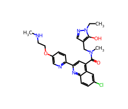 CCn1ncc(CN(C)C(=O)c2cc(-c3ccc(OCCNC)cn3)nc3ccc(Cl)cc23)c1O